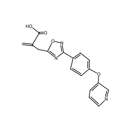 C=C(Cc1nc(-c2ccc(Oc3cccnc3)cc2)no1)C(=O)O